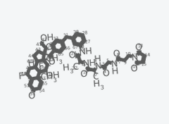 C[C@H](NC(=O)CNC(=O)CCN1C(=O)C=CC1=O)C(=O)N[C@@H](C)C(=O)Nc1cccc(Cc2ccc(C(=O)[C@]3(C(=O)CO)CCC4[C@H]5C[C@@H](F)C6=CC(=O)C=C[C@@]6(C)[C@]5(F)[C@H](O)C[C@]43C)cc2)c1